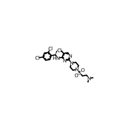 C[C@@H](Nc1nc(N2CCN(S(=O)(=O)CCN(C)C)CC2)ncc1Cl)c1ccc(Cl)cc1Cl